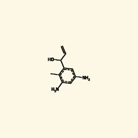 C=CC(O)c1cc(N)cc(N)c1C